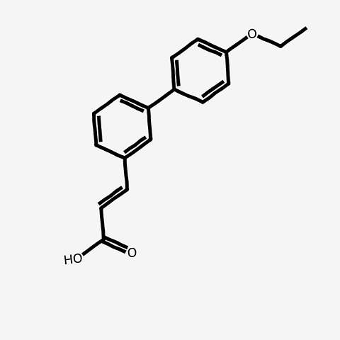 CCOc1ccc(-c2cccc(C=CC(=O)O)c2)cc1